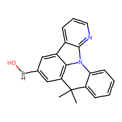 CC1(C)c2ccccc2-n2c3ncccc3c3cc(BO)cc1c32